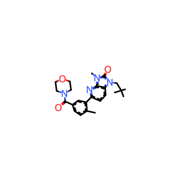 Cc1ccc(C(=O)N2CCOCC2)cc1-c1ccc2c(n1)n(C)c(=O)n2CC(C)(C)C